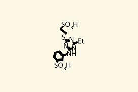 CCc1nc(Nc2cccc(S(=O)(=O)O)c2)nc(SCCS(=O)(=O)O)n1